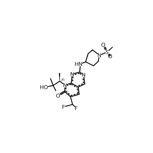 C[C@@H](n1c(=O)c(C(F)F)cc2cnc(NC3CCN(S(C)(=O)=O)CC3)nc21)C(C)(C)O